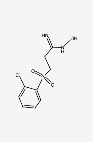 N=C(CCS(=O)(=O)c1ccccc1Cl)NO